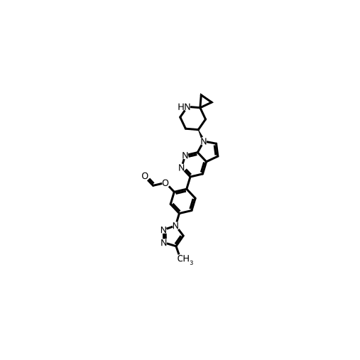 Cc1cn(-c2ccc(-c3cc4ccn([C@H]5CCNC6(CC6)C5)c4nn3)c(OC=O)c2)nn1